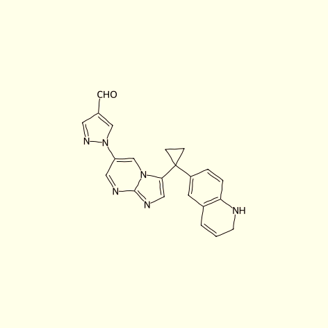 O=Cc1cnn(-c2cnc3ncc(C4(c5ccc6c(c5)C=CCN6)CC4)n3c2)c1